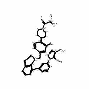 CCc1cc(C[C@@H]2CCc3cccc(-c4cccc(-n5ncc(C(=O)O)c5OC)c4)c32)ccc1C1CCN(C(=O)[C@H](C)O)CC1